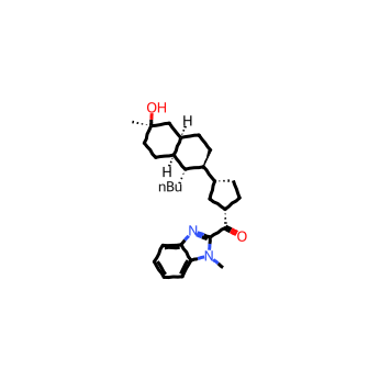 CCCC[C@H]1[C@H]([C@@H]2CC[C@H](C(=O)c3nc4ccccc4n3C)C2)CC[C@@H]2C[C@](C)(O)CC[C@@H]21